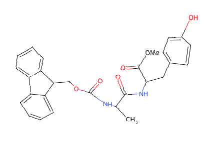 COC(=O)C(Cc1ccc(O)cc1)NC(=O)C(C)NC(=O)OCC1c2ccccc2-c2ccccc21